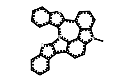 Cn1c2cccc3c4oc5ccccc5c4n4c5oc6ccccc6c5c5ccc1c(c32)c54